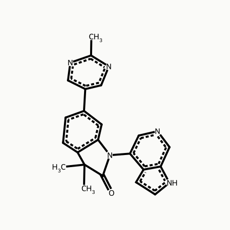 Cc1ncc(-c2ccc3c(c2)N(c2cncc4[nH]ccc24)C(=O)C3(C)C)cn1